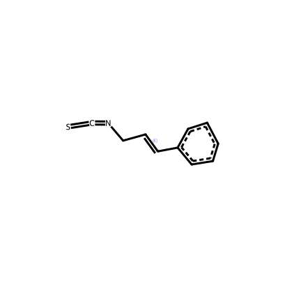 S=C=NC/C=C/c1ccccc1